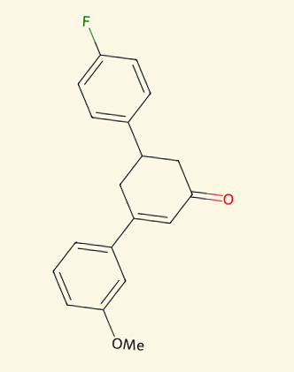 COc1cccc(C2=CC(=O)CC(c3ccc(F)cc3)C2)c1